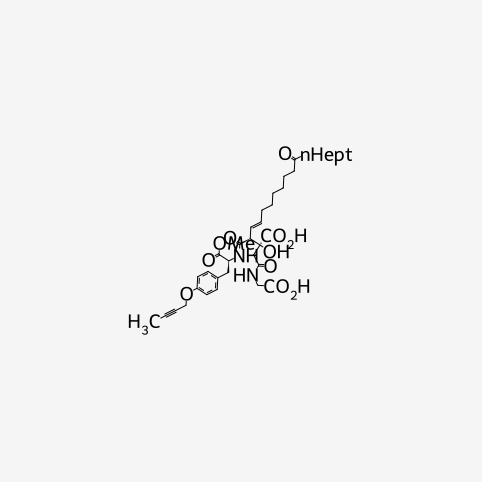 CC#CCOc1ccc(C[C@H](NC(=O)[C@@H](/C=C/CCCCCCC(=O)CCCCCCC)[C@@](O)(CC(=O)NCC(=O)O)C(=O)O)C(=O)OC)cc1